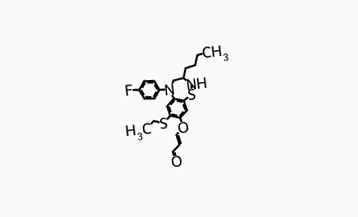 CCCCC1CN(c2ccc(F)cc2)c2cc(SCC)c(O/C=C/C=O)cc2SN1